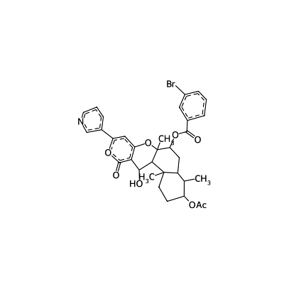 CC(=O)OC1CCC2(C)C(CC(OC(=O)c3cccc(Br)c3)C3(C)Oc4cc(-c5cccnc5)oc(=O)c4C(O)C23)C1C